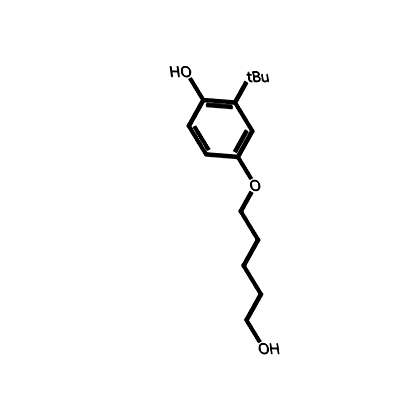 CC(C)(C)c1cc(OCCCCCO)ccc1O